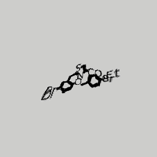 CCOC(=O)c1csc(Cc2cc(Br)ccc2OCc2ccc(Br)cc2)n1